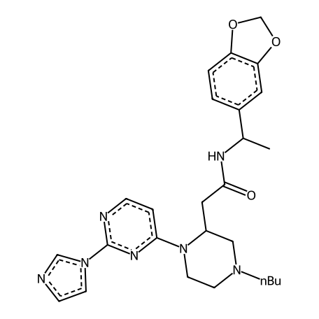 CCCCN1CCN(c2ccnc(-n3ccnc3)n2)C(CC(=O)NC(C)c2ccc3c(c2)OCO3)C1